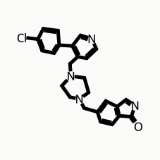 O=C1N=Cc2cc(CN3CCN(Cc4ccncc4-c4ccc(Cl)cc4)CC3)ccc21